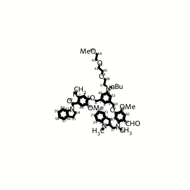 C=Nc1cc(OCc2cc(COc3cc(N(C)CC4Cc5ccccc5N4C)c(C=O)cc3OC)cc(N(CCCC)CCOCCOCCOC)c2)c(OC)cc1C(=O)N1CCc2ccccc21